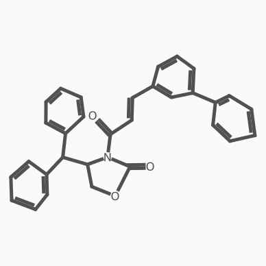 O=C(C=Cc1cccc(-c2ccccc2)c1)N1C(=O)OCC1C(c1ccccc1)c1ccccc1